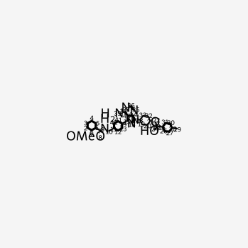 COc1ccccc1C(=O)NCc1ccc(-c2nn(C3CCC(OC(O)c4ccc(C)cc4)CC3)c3ncnc(N)c23)cc1